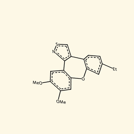 CCc1ccc2c(c1)Oc1cc(OC)c(OC)cc1-c1nscc1-2